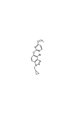 COc1ccnc(Oc2ccc3c(nnn3CC3CC3)c2Br)n1